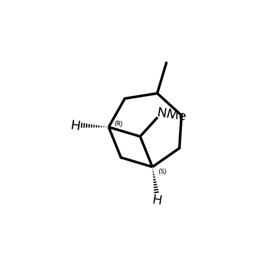 CNC1[C@@H]2CC(C)CC[C@H]1C2